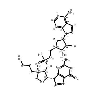 Nc1nc2c(nnn2[C@@H]2OC[C@](F)(CCCO)[C@H]2OP(=O)(S)OC[C@H]2O[C@@H](n3ccc4c(N)ncnc43)[C@@H](F)[C@@H]2O)c(=O)[nH]1